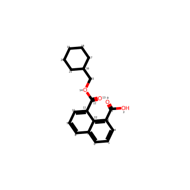 O=C(O)c1cccc2cccc(C(=O)OCC3CCCCC3)c12